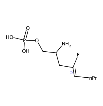 CCC/C=C(\F)CC(N)COP(=O)(O)O